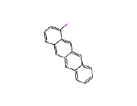 Ic1cccc2cc3cc4ccccc4cc3cc12